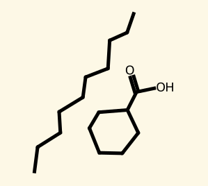 CCCCCCCCCC.O=C(O)C1CCCCC1